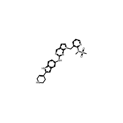 CN(c1ncccc1Cn1ccc2cnc(Nc3ccc4[nH]c(C5=CCNCC5)cc4c3)nc21)S(C)(=O)=O